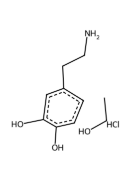 CCO.Cl.NCCc1ccc(O)c(O)c1